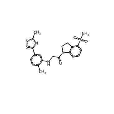 Cc1nsc(-c2ccc(C)c(NCC(=O)N3CCc4c3cccc4S(N)(=O)=O)c2)n1